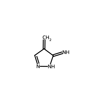 C=C1C=NNC1=N